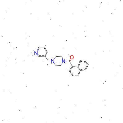 O=C(c1cccc2ccccc12)N1CCN(Cc2cccnc2)CC1